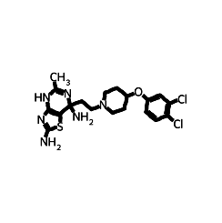 CC1=NC(N)(CCN2CCC(Oc3ccc(Cl)c(Cl)c3)CC2)c2sc(N)nc2N1